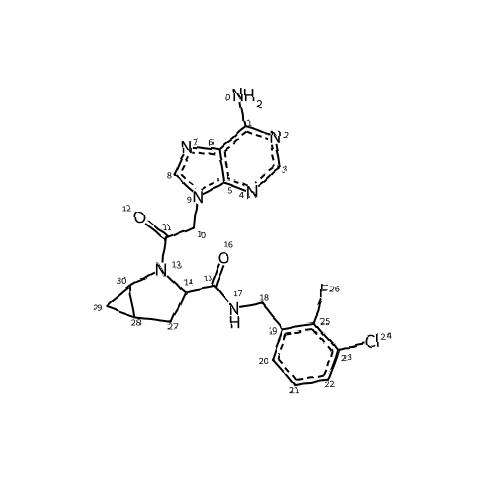 Nc1ncnc2c1ncn2CC(=O)N1C(C(=O)NCc2cccc(Cl)c2F)CC2CC21